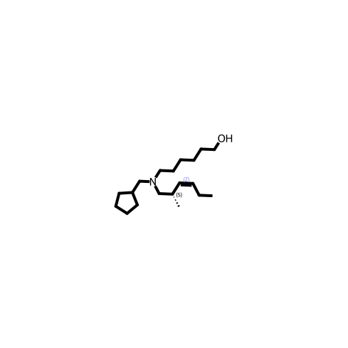 CC/C=C\[C@H](C)CN(CCCCCCO)CC1CCCC1